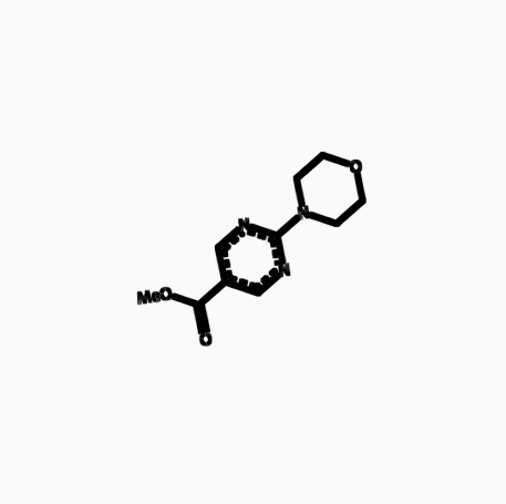 COC(=O)c1cnc(N2CCOCC2)nc1